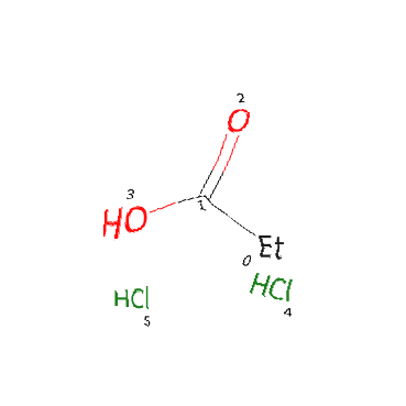 CCC(=O)O.Cl.Cl